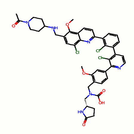 COc1cc(-c2nccc(-c3cccc(-c4ccc5c(OC)c(CNC6CCN(C(C)=O)CC6)cc(Cl)c5n4)c3Cl)c2Cl)ccc1CN(C[C@@H]1CCC(=O)N1)C(=O)O